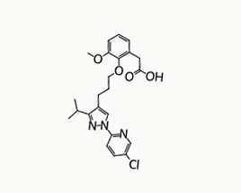 COc1cccc(CC(=O)O)c1OCCCc1cn(-c2ccc(Cl)cn2)nc1C(C)C